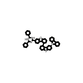 c1ccc(C2=NC(c3ccc4c(c3)oc3cccc(-c5cccc6sc7ccc(-n8c9ccccc9c9ccccc98)cc7c56)c34)NC(c3ccccc3)N2)cc1